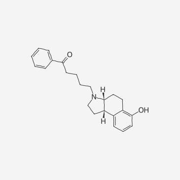 O=C(CCCCN1CC[C@H]2c3cccc(O)c3CC[C@H]21)c1ccccc1